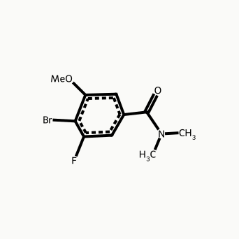 COc1cc(C(=O)N(C)C)cc(F)c1Br